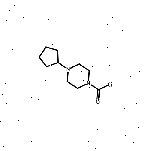 O=C(Cl)N1CCN(C2CCCC2)CC1